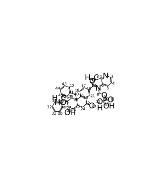 Cc1ncccc1N(COP(=O)(O)O)C(=O)c1ccc2c(c1)C(=O)CC1CC(O)(c3ccccc3)C(C)(O)CC21Cc1ccccc1